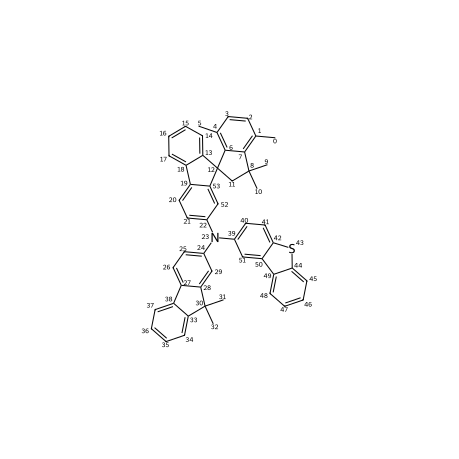 Cc1ccc(C)c2c1C(C)(C)CC21c2ccccc2-c2ccc(N(c3ccc4c(c3)C(C)(C)c3ccccc3-4)c3ccc4sc5ccccc5c4c3)cc21